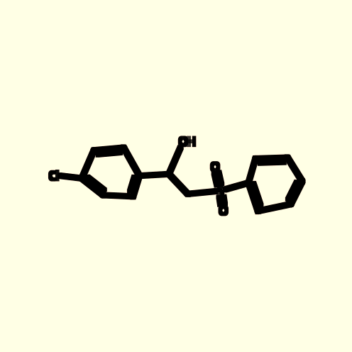 O=S(=O)(CC(O)c1ccc(Cl)cc1)c1ccccc1